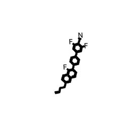 C=CCCc1ccc2c(F)c(-c3ccc(-c4cc(F)c(C#N)c(F)c4)cc3)ccc2c1